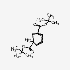 CC(C)(C)OC(=O)C1=CC=CC(O)(C(=O)OC(C)(C)C)C1